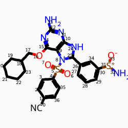 N#Cc1ccc(S(=O)(=O)N2c3c(nc(N)nc3OCC3CCCCC3)NC2c2cccc([S+](N)[O-])c2)cc1